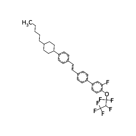 CCCCCC1CCC(c2ccc(C=Cc3ccc(-c4ccc(OC(F)(F)C(F)C(F)(F)F)c(F)c4)cc3)cc2)CC1